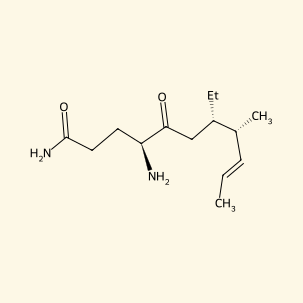 C/C=C/[C@@H](C)[C@@H](CC)CC(=O)[C@@H](N)CCC(N)=O